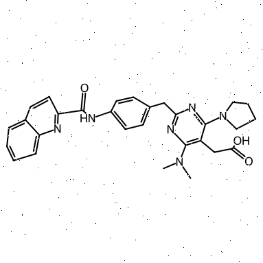 CN(C)c1nc(Cc2ccc(NC(=O)c3ccc4ccccc4n3)cc2)nc(N2CCCC2)c1CC(=O)O